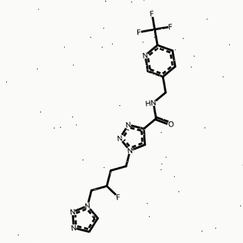 O=C(NCc1ccc(C(F)(F)F)nc1)c1cn(CCC(F)Cn2ccnn2)nn1